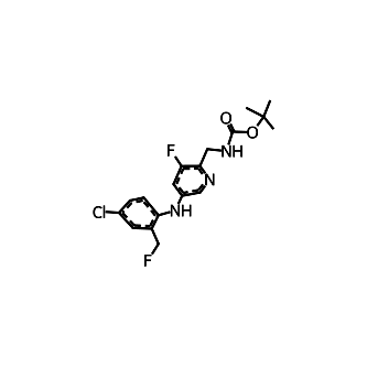 CC(C)(C)OC(=O)NCc1ncc(Nc2ccc(Cl)cc2CF)cc1F